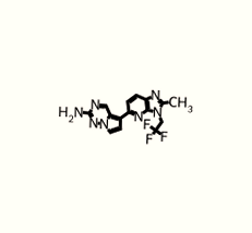 Cc1nc2ccc(-c3ccn4nc(N)ncc34)nc2n1CC(F)(F)F